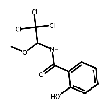 COC(NC(=O)c1ccccc1O)C(Cl)(Cl)Cl